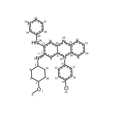 COC1CCC(/N=c2\cc3n(-c4ccc(Cl)cc4)c4ccccc4nc-3cc2Nc2cccnc2)CC1